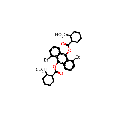 CCc1cccc2c(OC(=O)C3CCCCC3C(=O)O)c3c(CC)cccc3c(OC(=O)C3CCCCC3C(=O)O)c12